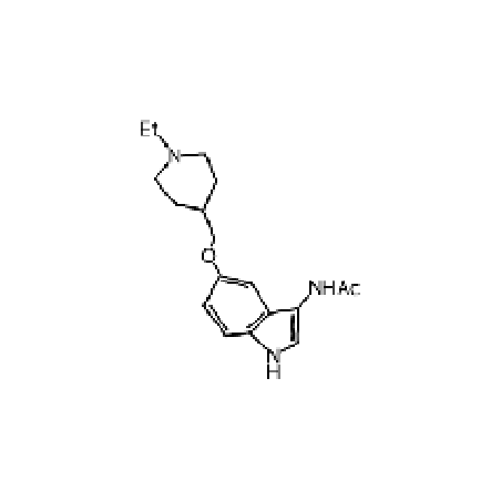 CCN1CCC(COc2ccc3[nH]cc(NC(C)=O)c3c2)CC1